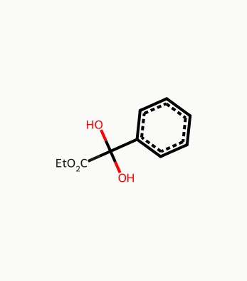 CCOC(=O)C(O)(O)c1ccccc1